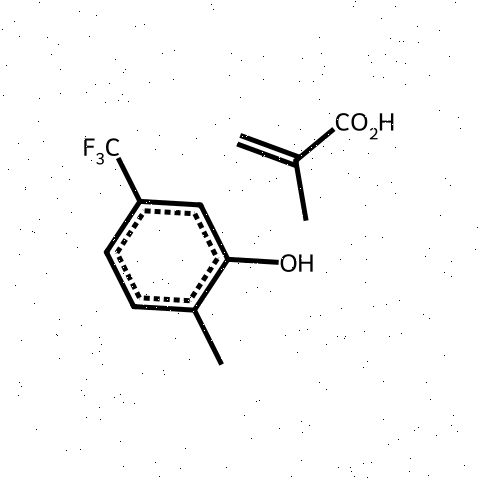 C=C(C)C(=O)O.Cc1ccc(C(F)(F)F)cc1O